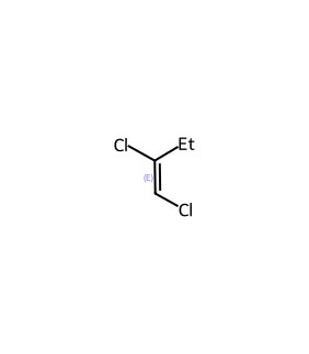 CC/C(Cl)=C\Cl